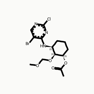 COCO[C@H]1[C@@H](Nc2nc(Cl)ncc2Br)CCC[C@@H]1OC(C)=O